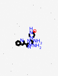 Nc1c(N2CCNC(=O)CC2)nc2c(-c3cnc4ccccc4c3)cnn2c1N